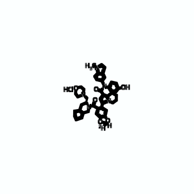 Cl.[2H]C1([2H])Oc2cc(C(=O)N3Cc4ccccc4C[C@H]3CN3CCOCC3)c(-c3cc(C(=O)N(c4ccc(O)cc4)c4ccc5c(ccn5C)c4)c4n3CCCC4)cc2O1